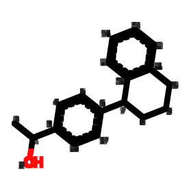 CC(O)c1ccc(C2CCCc3ccccc32)cc1